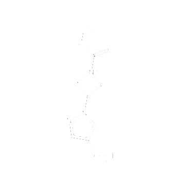 CC(C)(C)OC(=O)N1CC(n2cc(C(=O)O)cn2)C1